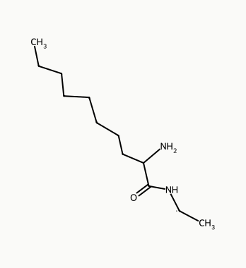 C[CH]NC(=O)C(N)CCCCCCCC